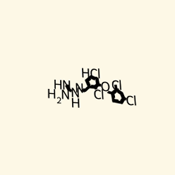 Cl.N=C(N)NN=Cc1cccc(OCc2ccc(Cl)cc2Cl)c1Cl